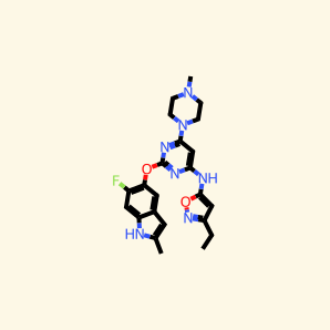 CCc1cc(Nc2cc(N3CCN(C)CC3)nc(Oc3cc4cc(C)[nH]c4cc3F)n2)on1